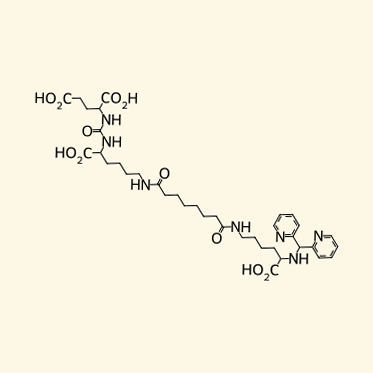 O=C(O)CCC(NC(=O)NC(CCCCNC(=O)CCCCCCC(=O)NCCCCC(NC(c1ccccn1)c1ccccn1)C(=O)O)C(=O)O)C(=O)O